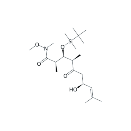 CON(C)C(=O)[C@H](C)[C@@H](O[Si](C)(C)C(C)(C)C)[C@@H](C)C(=O)C[C@H](O)C=C(C)C